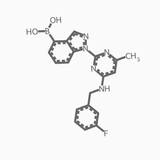 Cc1cc(NCc2cccc(F)c2)nc(-n2ncc3c(B(O)O)cccc32)n1